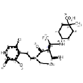 CC(C)(C)CN(CCc1c(Cl)c[nH]c(=O)c1Cl)C(=O)/C(C=N)=C(/N[C@H]1CC[C@](C)(C(=O)O)CC1)C(F)(F)F